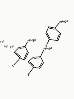 CCCCCCCc1ccc([S])cc1.CCCCCCCc1ccc([S])cc1.CCCCCCCc1ccc([S])cc1.F.F.F